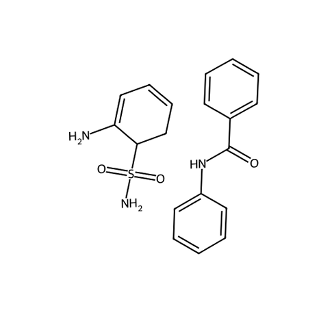 NC1=CC=CCC1S(N)(=O)=O.O=C(Nc1ccccc1)c1ccccc1